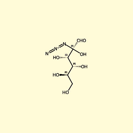 [N-]=[N+]=N[C@](O)(C=O)[C@@H](O)[C@H](O)[C@H](O)CO